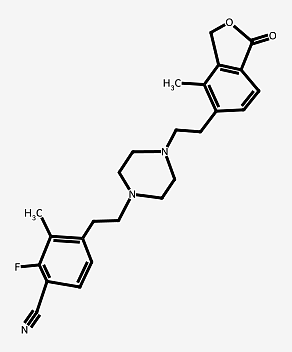 Cc1c(CCN2CCN(CCc3ccc4c(c3C)COC4=O)CC2)ccc(C#N)c1F